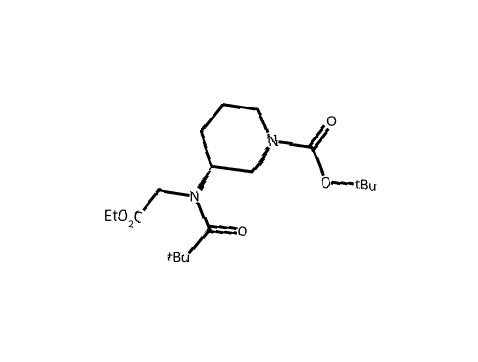 CCOC(=O)CN(C(=O)C(C)(C)C)[C@H]1CCCN(C(=O)OC(C)(C)C)C1